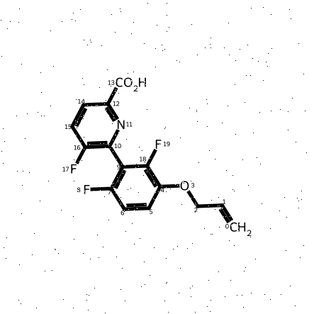 C=CCOc1ccc(F)c(-c2nc(C(=O)O)ccc2F)c1F